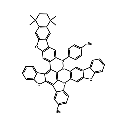 CC(C)(C)c1ccc(N2B3c4cc5c(cc4-n4c6ccc(C(C)(C)C)cc6c6c7oc8ccccc8c7c(c3c64)-c3cc4oc6cc7c(cc6c4cc32)C(C)(C)CCC7(C)C)oc2ccccc25)cc1